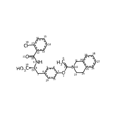 C=C(Oc1ccc(C[C@H](NC(=O)c2ccccc2Cl)C(=O)O)cc1)N1CCc2ccccc2C1